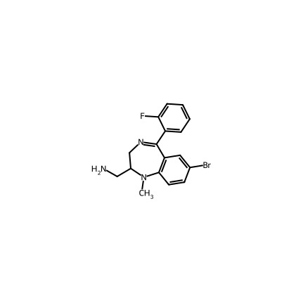 CN1c2ccc(Br)cc2C(c2ccccc2F)=NCC1CN